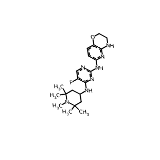 CN1C(C)(C)CC(Nc2nc(Nc3ccc4c(n3)NCCO4)ncc2F)CC1(C)C